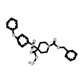 COC(=O)C1(S(=O)(=O)c2ccc(Oc3ccccc3)cc2)CCN(C(=O)OCc2ccccc2)CC1